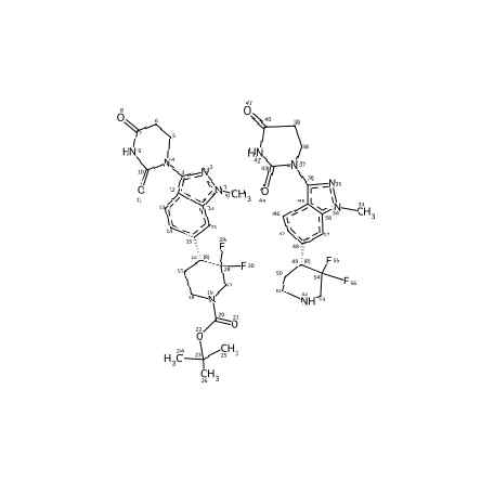 Cn1nc(N2CCC(=O)NC2=O)c2ccc([C@H]3CCN(C(=O)OC(C)(C)C)CC3(F)F)cc21.Cn1nc(N2CCC(=O)NC2=O)c2ccc([C@H]3CCNCC3(F)F)cc21